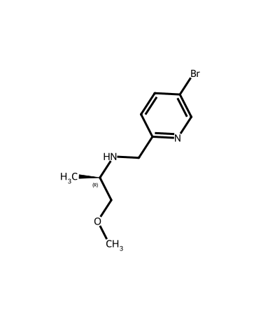 COC[C@@H](C)NCc1ccc(Br)cn1